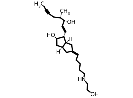 CC#CC[C@H](C)[C@H](O)/C=C/[C@@H]1[C@H]2C/C(=C/CCCCNCCO)C[C@H]2C[C@H]1O